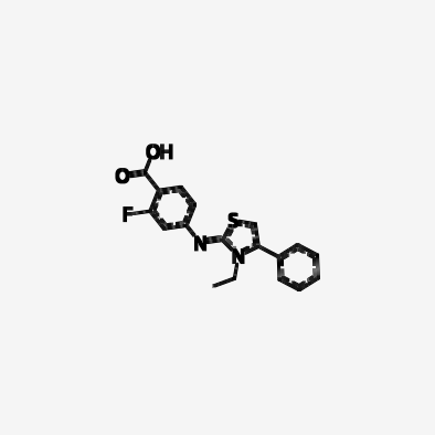 CCn1c(-c2ccccc2)csc1=Nc1ccc(C(=O)O)c(F)c1